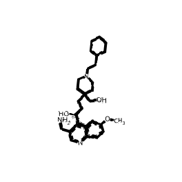 COc1ccc2ncc(CN)c([C@@H](O)CCC3(CO)CCN(CCC4CCCCC4)CC3)c2c1